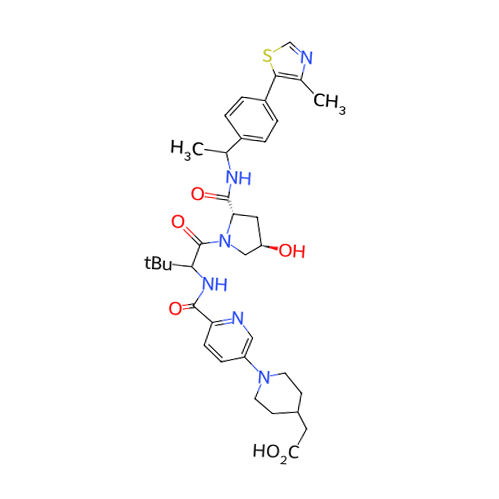 Cc1ncsc1-c1ccc(C(C)NC(=O)[C@@H]2C[C@@H](O)CN2C(=O)C(NC(=O)c2ccc(N3CCC(CC(=O)O)CC3)cn2)C(C)(C)C)cc1